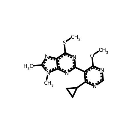 COc1ncnc(C2CC2)c1-c1nc(SC)c2nc(C)n(C)c2n1